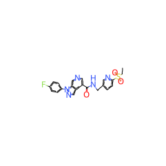 CCS(=O)(=O)c1ccc(CNC(=O)c2cncc3c2cnn3-c2ccc(F)cc2)cn1